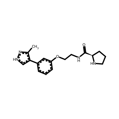 Cc1n[nH]cc1-c1c[c]cc(OCCNC(=O)[C@H]2CCCN2)c1